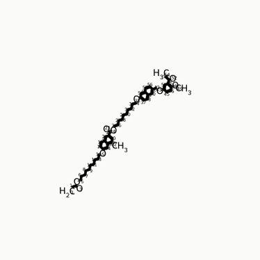 C=CC(=O)OCCCCCCCCCCOc1ccc2cc(C(=O)OCCCCCCCCCCOc3ccc4cc(COc5ccc(OC)c(C(=O)CC)c5)ccc4c3)cc(C)c2c1